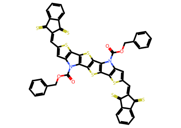 O=C(OCc1ccccc1)n1c2cc(C=C3C(=S)c4ccccc4C3=S)sc2c2sc3c(sc4c5sc(C=C6C(=S)c7ccccc7C6=S)cc5n(C(=O)OCc5ccccc5)c43)c21